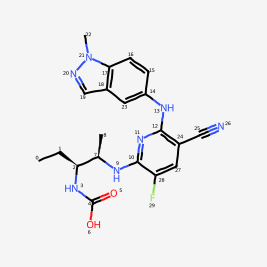 CC[C@H](NC(=O)O)[C@@H](C)Nc1nc(Nc2ccc3c(cnn3C)c2)c(C#N)cc1F